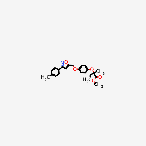 CCC(C)(Oc1ccc(OCc2cc(-c3ccc(C)cc3)no2)cc1)C(=O)OC